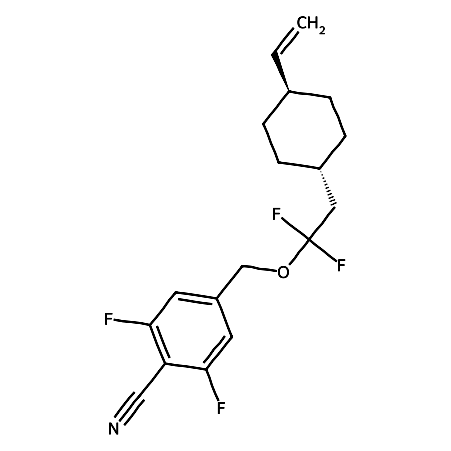 C=C[C@H]1CC[C@H](CC(F)(F)OCc2cc(F)c(C#N)c(F)c2)CC1